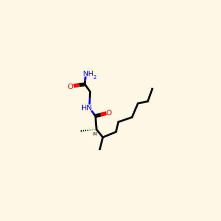 CCCCCCC(C)[C@H](C)C(=O)NCC(N)=O